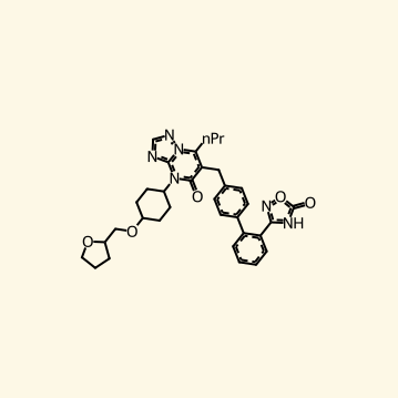 CCCc1c(Cc2ccc(-c3ccccc3-c3noc(=O)[nH]3)cc2)c(=O)n(C2CCC(OCC3CCCO3)CC2)c2ncnn12